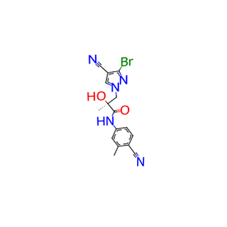 Cc1cc(NC(=O)[C@@](C)(O)Cn2cc(C#N)c(Br)n2)ccc1C#N